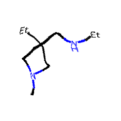 CCNCC1(CC)CN(C)C1